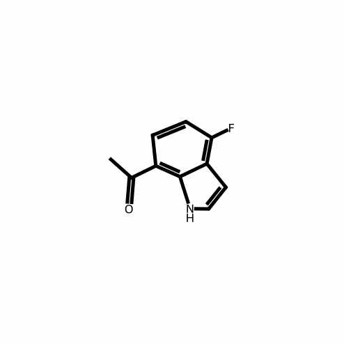 CC(=O)c1ccc(F)c2cc[nH]c12